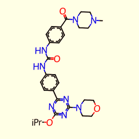 CC(C)Oc1nc(-c2ccc(NC(=O)Nc3ccc(C(=O)N4CCN(C)CC4)cc3)cc2)nc(N2CCOCC2)n1